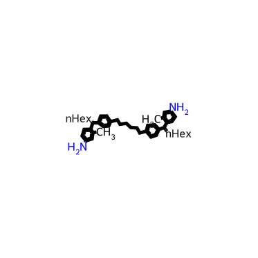 CCCCCCC(c1ccc(CCCCCCc2ccc(C(CCCCCC)c3ccc(N)cc3C)cc2)cc1)c1ccc(N)cc1C